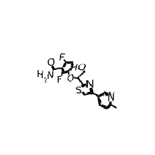 Cc1ccc(-c2csc(C(CO)Oc3ccc(F)c(C(N)=O)c3F)n2)cn1